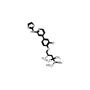 C[C@H](COc1ccc(-c2ccnc(Nc3nccs3)c2)cc1Cl)CC(C)(C)N(C(=O)O)C(C)(C)C